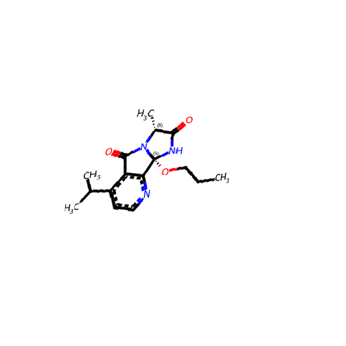 CCCO[C@@]12NC(=O)[C@@H](C)N1C(=O)c1c(C(C)C)ccnc12